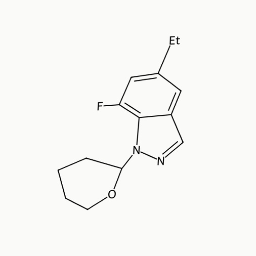 CCc1cc(F)c2c(cnn2C2CCCCO2)c1